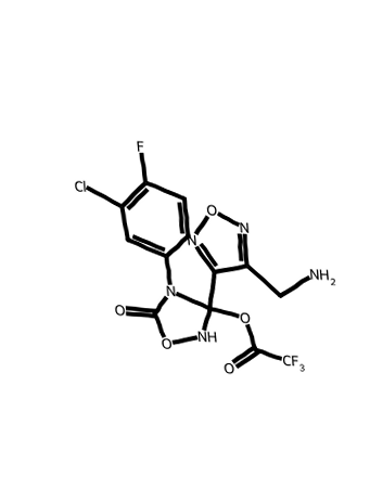 NCc1nonc1C1(OC(=O)C(F)(F)F)NOC(=O)N1c1ccc(F)c(Cl)c1